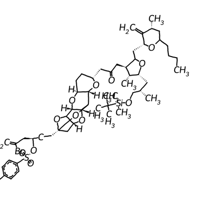 C=C(Br)C[C@@H](CC[C@@]12C[C@H]3O[C@H]4C(O1)[C@H]1O[C@@H](CC(=O)C[C@H]5C(C[C@H]6OC(CCCC)C[C@@H](C)C6=C)O[C@H](C[C@H](C)CO[Si](C)(C)C(C)(C)C)[C@@H]5C)CC[C@@H]1O[C@H]4C3O2)OS(=O)(=O)c1ccc(C)cc1